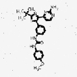 COc1ccc(NC(=O)Nc2cccc(-c3sc(C(C)(C)C)nc3-c3ccnc(N)n3)c2)cc1